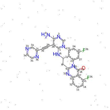 Nc1ncnc(NCCc2nc3cccc(F)c3c(=O)n2-c2cccc(F)c2)c1C#Cc1cnccn1